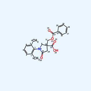 Cc1cccc(C)c1N1CC(COC(=O)c2ccccc2)(C(=O)O)CC1=O